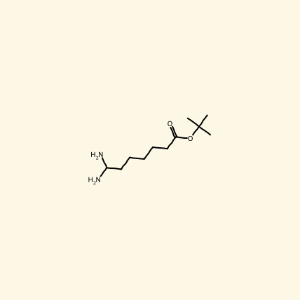 CC(C)(C)OC(=O)CCCCCC(N)N